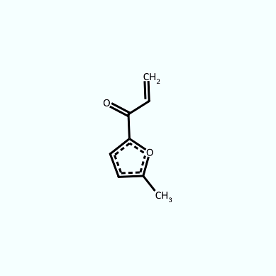 C=CC(=O)c1ccc(C)o1